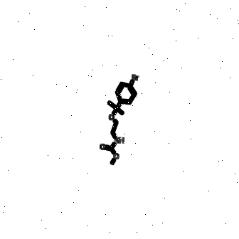 COC(=O)NCCOC(C)(C)c1ccc(Br)cc1